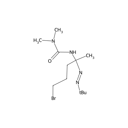 CN(C)C(=O)NC(C)(CCCBr)N=NC(C)(C)C